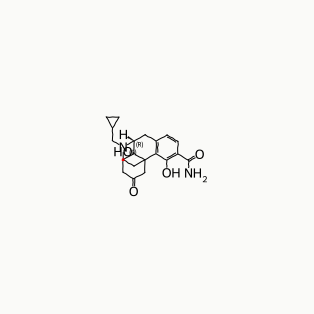 NC(=O)c1ccc2c(c1O)C13CCN(CC4CC4)[C@H](C2)[C@]1(O)CCC(=O)C3